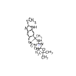 CSc1nc2cc(F)c([C@]3(C)CS(=O)(=O)N(C)/C(=N\C(=O)OC(C)(C)C)N3)cc2[nH]1